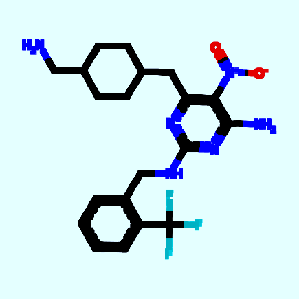 NCC1CCC(Cc2nc(NCc3ccccc3C(F)(F)F)nc(N)c2[N+](=O)[O-])CC1